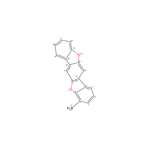 Bc1cccc2c1oc1cc3c(cc12)oc1ccccc13